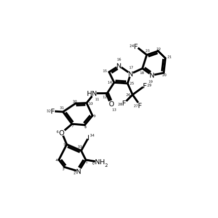 Nc1nccc(Oc2ccc(NC(=O)c3cnn(-c4ncccc4F)c3C(F)(F)F)cc2F)c1I